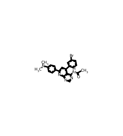 CC(=O)[AsH]c1ncnc2nc(-c3ccc(N(C)C)cc3)cc(-c3cccc(Br)c3)c12